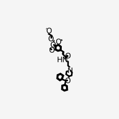 COCCOCOc1c(OC)cc(C=CC(=O)NCCCN2CCC(OC(c3ccccc3)c3ccccc3)CC2)cc1OC